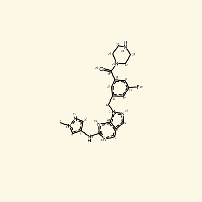 Cn1cc(Nc2ncc3cnn(Cc4cc(F)cc(C(=O)N5CCNCC5)c4)c3n2)cn1